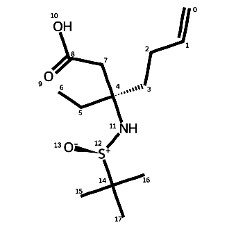 C=CCC[C@](CC)(CC(=O)O)N[S@+]([O-])C(C)(C)C